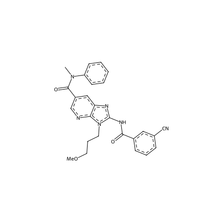 COCCCn1c(NC(=O)c2cccc(C#N)c2)nc2cc(C(=O)N(C)c3ccccc3)cnc21